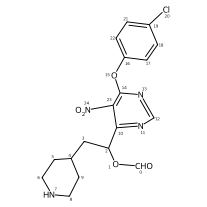 O=COC(CC1CCNCC1)c1ncnc(Oc2ccc(Cl)cc2)c1[N+](=O)[O-]